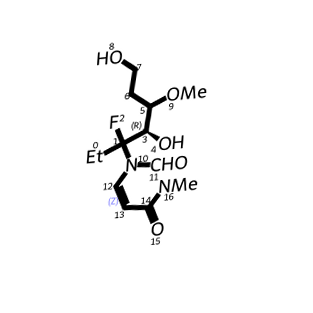 CCC(F)([C@H](O)C(CCO)OC)N(C=O)/C=C\C(=O)NC